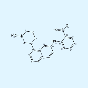 CN1CCCC(c2cccc3ccc(Nc4ncccc4[N+](=O)[O-])cc23)C1